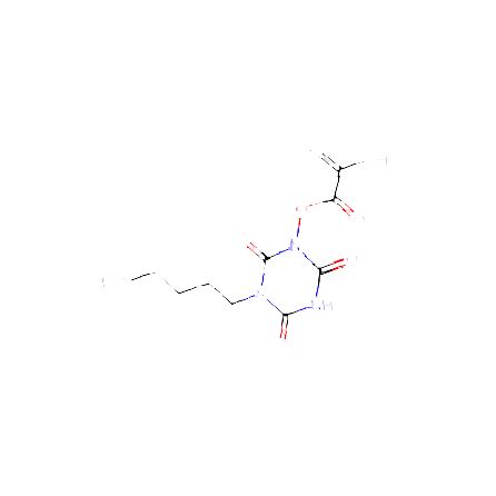 C=C(C)C(=O)On1c(=O)[nH]c(=O)n(CCCCC)c1=O